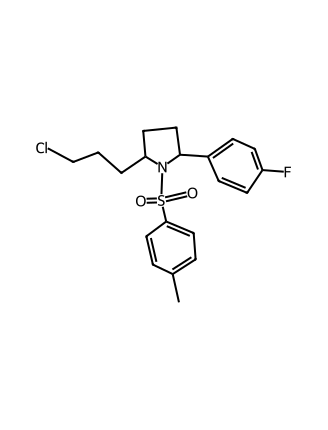 Cc1ccc(S(=O)(=O)N2C(CCCCl)CCC2c2ccc(F)cc2)cc1